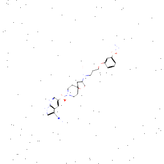 CNS(=O)(=O)c1cccc(OC[C@@H](O)CNC2COC3(CCN(S(=O)(=O)c4cnc5[nH]cc(C#N)c5c4)CC3)C2)c1